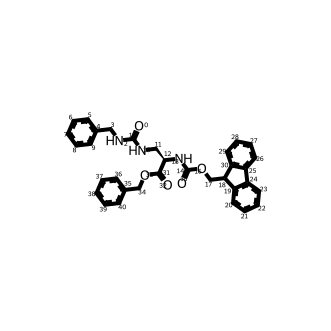 O=C(NCc1ccccc1)NC[C@@H](NC(=O)OCC1c2ccccc2-c2ccccc21)C(=O)OCc1ccccc1